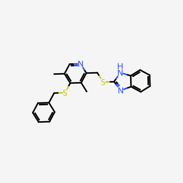 Cc1cnc(CSc2nc3ccccc3[nH]2)c(C)c1SCc1ccccc1